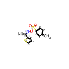 Cc1ccc(S(=O)(=O)ON=C(C#N)c2cccs2)cc1